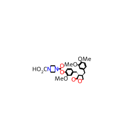 COc1ccc(C[C@H]2COC(=O)[C@@H]2Cc2ccc(OC(=O)N3CCN(C(=O)O)CC3)c(OC)c2)cc1OC